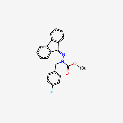 CC(C)(C)OC(=O)N(Cc1ccc(F)cc1)N=C1c2ccccc2-c2ccccc21